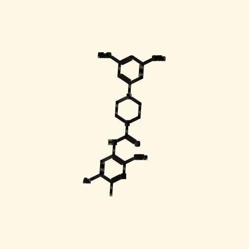 COc1cc(OC)cc(N2CCN(C(=O)Nc3cc(C(C)=O)c(C)nc3OC)CC2)c1